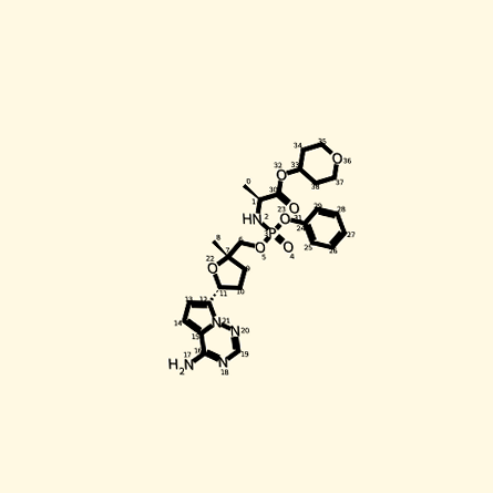 C[C@H](NP(=O)(OC[C@]1(C)CC[C@H](c2ccc3c(N)ncnn23)O1)Oc1ccccc1)C(=O)OC1CCOCC1